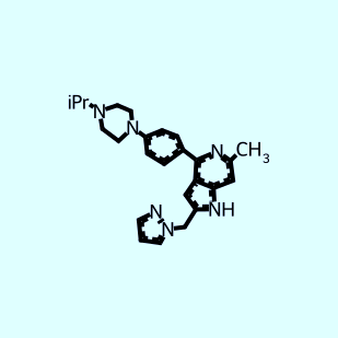 Cc1cc2[nH]c(Cn3cccn3)cc2c(-c2ccc(N3CCN(C(C)C)CC3)cc2)n1